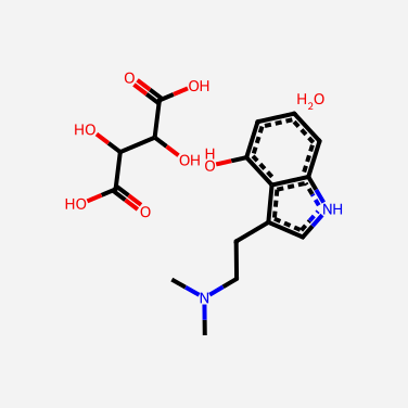 CN(C)CCc1c[nH]c2cccc(O)c12.O.O=C(O)C(O)C(O)C(=O)O